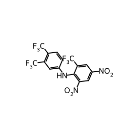 O=[N+]([O-])c1cc([N+](=O)[O-])c(Nc2ccc(C(F)(F)F)c(C(F)(F)F)c2)c(C(F)(F)F)c1